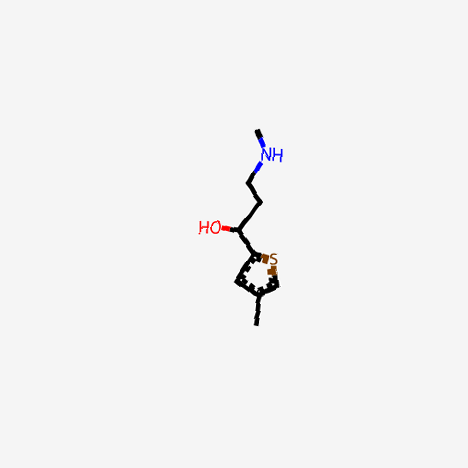 CNCCC(O)c1cc(C)cs1